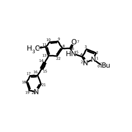 CCC(C)n1ccc(NC(=O)c2ccc(C)c(C#Cc3cccnc3)c2)n1